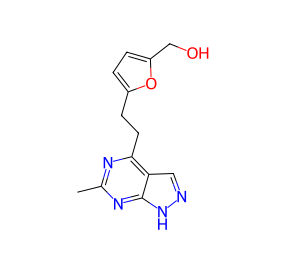 Cc1nc(CCc2ccc(CO)o2)c2cn[nH]c2n1